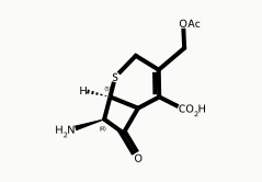 CC(=O)OCC1=C(C(=O)O)C2C(=O)[C@@H](N)[C@H]2SC1